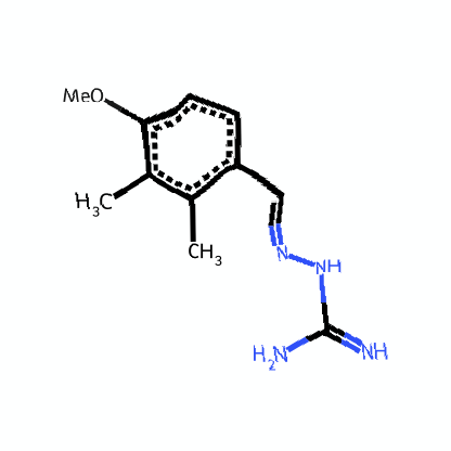 COc1ccc(C=NNC(=N)N)c(C)c1C